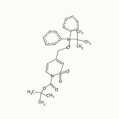 CC(C)(C)OC(=O)N1C=CC(CO[Si](c2ccccc2)(c2ccccc2)C(C)(C)C)=CS1(=O)=O